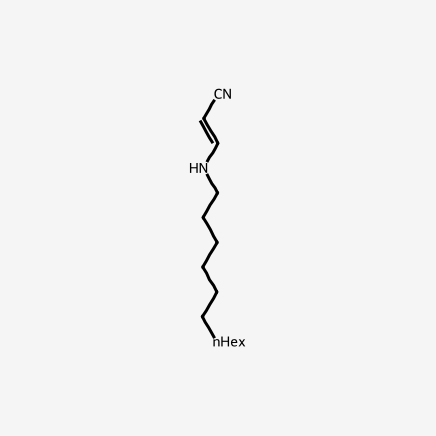 CCCCCCCCCCCCNC=CC#N